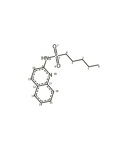 CCCCCS(=O)(=O)Nc1ccc2ccccc2n1